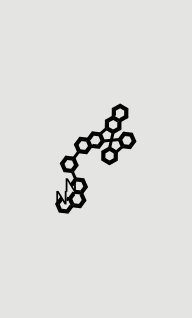 c1cc(-c2ccc3cc4c(cc3c2)C2(c3ccccc3-c3ccccc32)c2cc3ccccc3cc2-4)cc(-c2ccc3ccc4cccnc4c3n2)c1